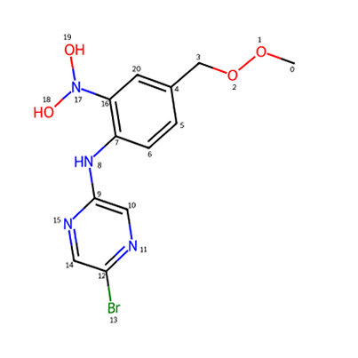 COOCc1ccc(Nc2cnc(Br)cn2)c(N(O)O)c1